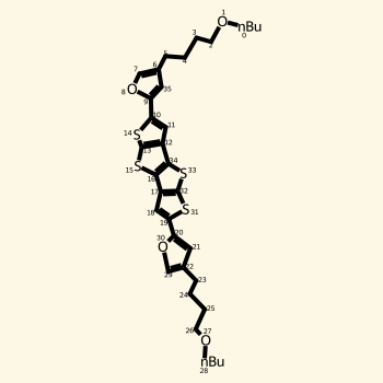 CCCCOCCCCc1coc(-c2cc3c(s2)sc2c4cc(-c5cc(CCCCOCCCC)co5)sc4sc32)c1